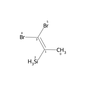 CC([SiH3])=C(Br)Br